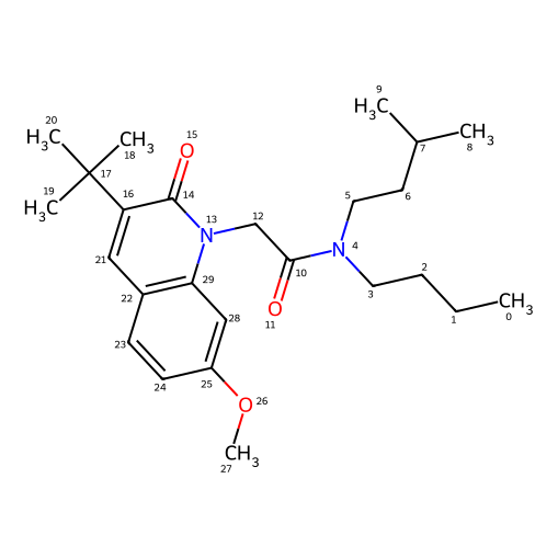 CCCCN(CCC(C)C)C(=O)Cn1c(=O)c(C(C)(C)C)cc2ccc(OC)cc21